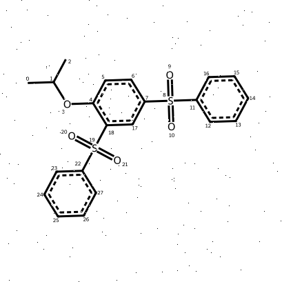 CC(C)Oc1ccc(S(=O)(=O)c2ccccc2)cc1S(=O)(=O)c1ccccc1